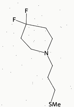 CSCCCN1CCC(F)(F)CC1